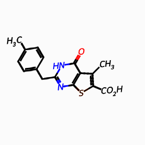 Cc1ccc(Cc2nc3sc(C(=O)O)c(C)c3c(=O)[nH]2)cc1